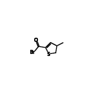 CC1C=C(C(=O)Br)SC1